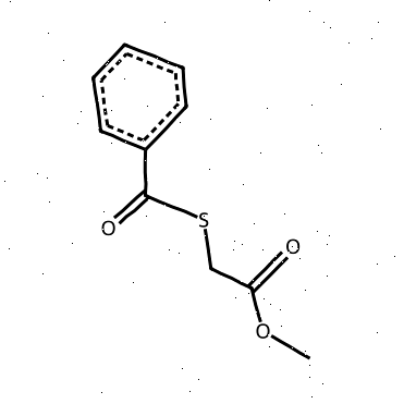 COC(=O)CSC(=O)c1ccccc1